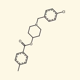 Cc1ccc(C(=O)OC2CCN(Cc3ccc(Cl)cc3)CC2)cc1